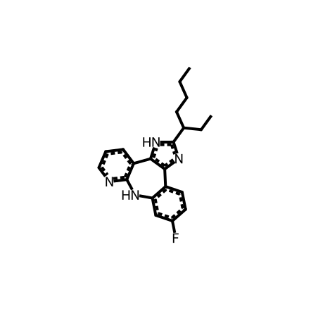 CCCCC(CC)c1nc2c([nH]1)-c1cccnc1Nc1cc(F)ccc1-2